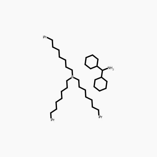 CC(C)CCCCCCCN(CCCCCCCC(C)C)CCCCCCCC(C)C.NC(C1CCCCC1)C1CCCCC1